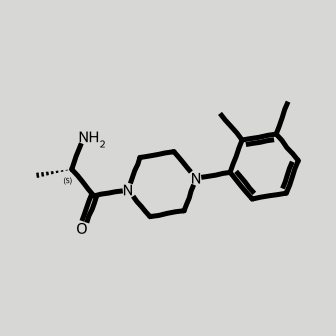 Cc1cccc(N2CCN(C(=O)[C@H](C)N)CC2)c1C